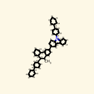 CC1c2ccc(-c3ccc4c(c3)c3ccccc3n4-c3ccc(-c4ccccc4)cc3)cc2-c2ccccc2C1c1ccc(-c2ccccc2)cc1